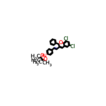 CC1(C)OB(c2ccc(/C=C/C3=Cc4cc(Cl)cc(Cl)c4OC3c3ccccc3)cc2)OC1(C)C